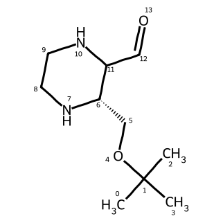 CC(C)(C)OC[C@@H]1NCCNC1C=O